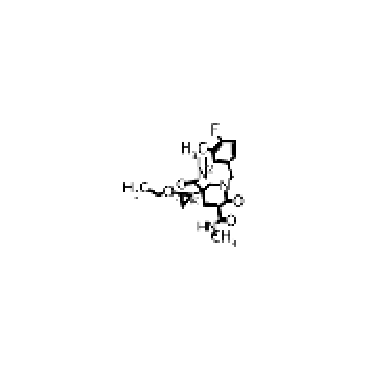 CCO[C@@H]1C[C@@H]1C1(C(N)=O)C=C(C(=O)NC)C(=O)N(Cc2ccc(F)c(C)c2)C1